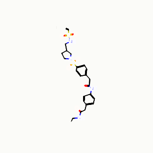 C=CS(=O)(=O)NCC1CCN(S(=O)(=O)c2ccc(CC(=O)Nc3ccc(CC(=O)NCC)cc3)cc2)C1